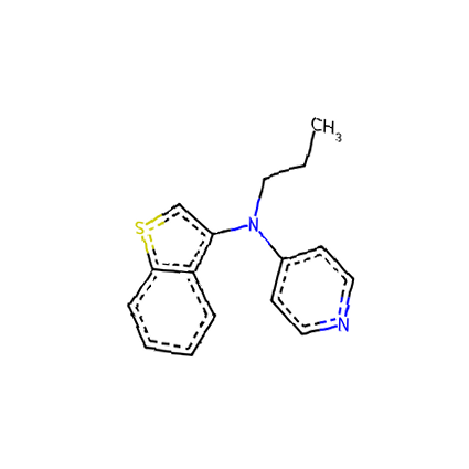 CCCN(c1ccncc1)c1csc2ccccc12